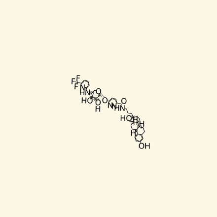 C[C@]12CC[C@@H]3c4ccc(O)cc4CC[C@H]3[C@@H]1CC[C@@]2(O)CCCNC(=O)c1ccc(OC[C@H]2OC[C@H](Nc3cccc(C(F)(F)F)n3)[C@@H](O)[C@H]2O)nn1